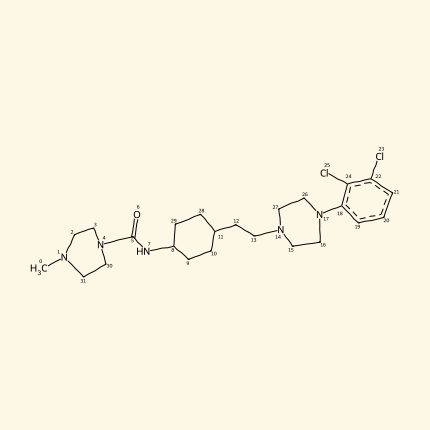 CN1CCN(C(=O)NC2CCC(CCN3CCN(c4cccc(Cl)c4Cl)CC3)CC2)CC1